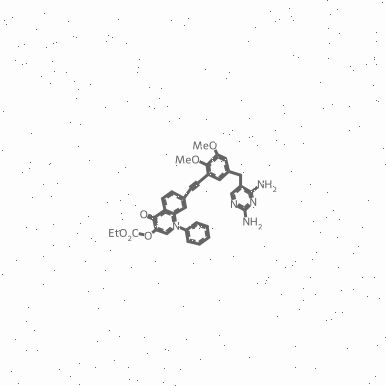 CCOC(=O)Oc1cn(-c2ccccc2)c2cc(C#Cc3cc(Cc4cnc(N)nc4N)cc(OC)c3OC)ccc2c1=O